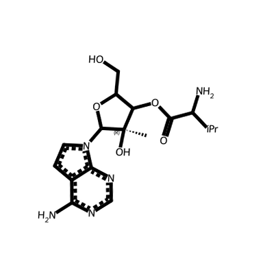 CC(C)C(N)C(=O)OC1C(CO)OC(n2ccc3c(N)ncnc32)[C@]1(C)O